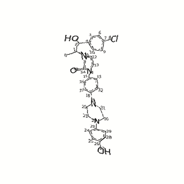 CC(C(O)c1ccc(Cl)cc1)n1ccn(-c2ccc(N3CCN(c4ccc(O)cc4)CC3)cc2)c1=O